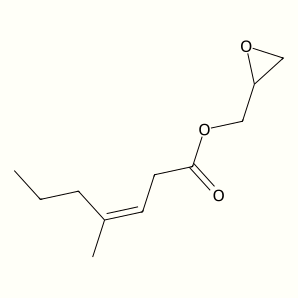 CCCC(C)=CCC(=O)OCC1CO1